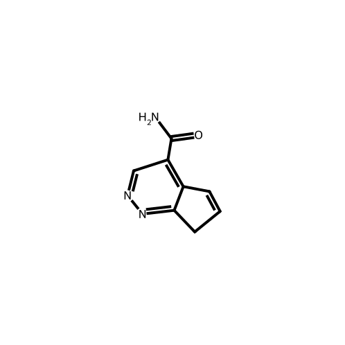 NC(=O)c1cnnc2c1C=CC2